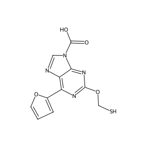 O=C(O)n1cnc2c(-c3ccco3)nc(OCS)nc21